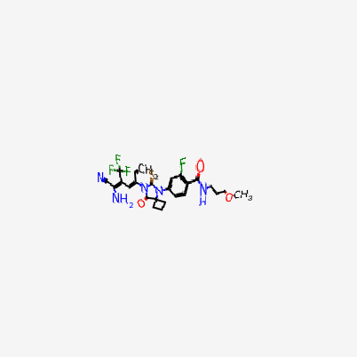 C=C/C(=C\C(=C(/N)C#N)C(F)(F)F)N1C(=O)C2(CCC2)N(c2ccc(C(=O)NCCCOC)c(F)c2)C1=S